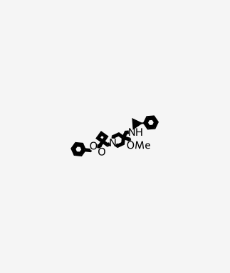 COCC1(CN[C@@H]2C[C@H]2c2ccccc2)CCN(CC2(C(=O)OCc3ccccc3)CCC2)CC1